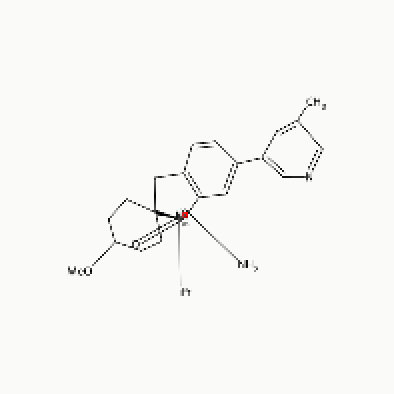 COC1CCC2(CC1)Cc1ccc(-c3cncc(C)c3)cc1[C@]21N=C(N)N(C(C)C)C1=O